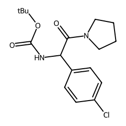 CC(C)(C)OC(=O)NC(C(=O)N1CCCC1)c1ccc(Cl)cc1